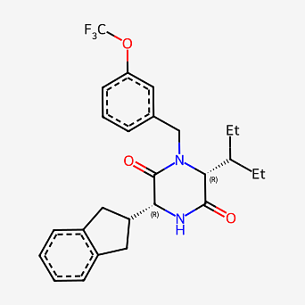 CCC(CC)[C@@H]1C(=O)N[C@H](C2Cc3ccccc3C2)C(=O)N1Cc1cccc(OC(F)(F)F)c1